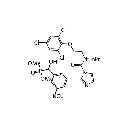 CCCN(CCOc1c(Cl)cc(Cl)cc1Cl)C(=O)n1ccnc1.COP(=O)(OC)C(O)c1cccc([N+](=O)[O-])c1